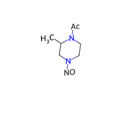 CC(=O)N1CCN(N=O)CC1C